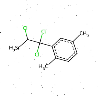 Cc1ccc(C)c(C(Cl)(Cl)C([SiH3])Cl)c1